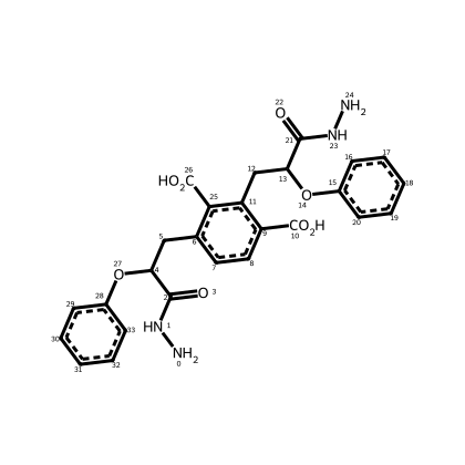 NNC(=O)C(Cc1ccc(C(=O)O)c(CC(Oc2ccccc2)C(=O)NN)c1C(=O)O)Oc1ccccc1